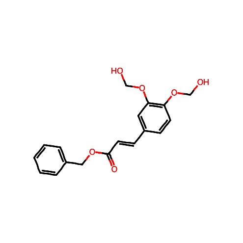 O=C(/C=C/c1ccc(OCO)c(OCO)c1)OCc1ccccc1